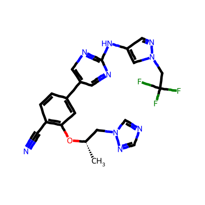 C[C@@H](Cn1cncn1)Oc1cc(-c2cnc(Nc3cnn(CC(F)(F)F)c3)nc2)ccc1C#N